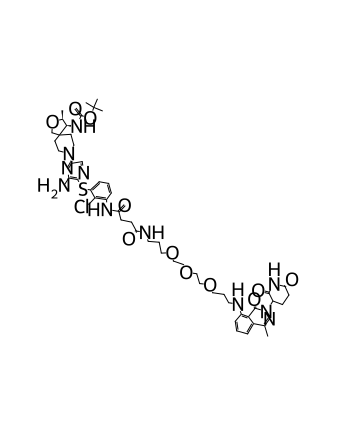 Cc1nn(C2CCC(=O)NC2=O)c(=O)c2c(NCCCOCCOCCOCCCNC(=O)CCC(=O)Nc3cccc(Sc4ncc(N5CCC6(CC5)CO[C@@H](C)[C@H]6NC(=O)OC(C)(C)C)nc4N)c3Cl)cccc12